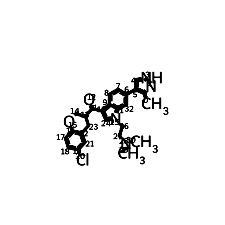 Cc1n[nH]cc1-c1ccc2c(C(=O)C3COc4ccc(Cl)cc4C3)cn(CCN(C)C)c2c1